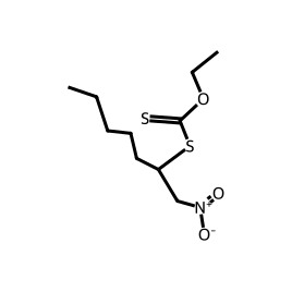 CCCCCC(C[N+](=O)[O-])SC(=S)OCC